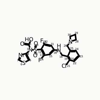 O=C(O)N(c1cscn1)S(=O)(=O)c1c(F)cc(NCc2c(Cl)cccc2CN2CCC2)cc1F